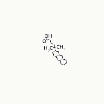 CC(C)(CCCC(=O)O)c1ccc2cc3ccccc3cc2c1